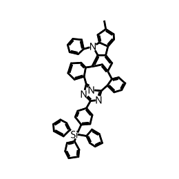 Cc1ccc2c3cc4cc(c5ccccc5c5nc(-c6ccc([Si](c7ccccc7)(c7ccccc7)c7ccccc7)cc6)nc(n5)c5ccccc45)c3n(-c3ccccc3)c2c1